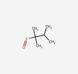 CC(C)C(C)(C)[S+]=O